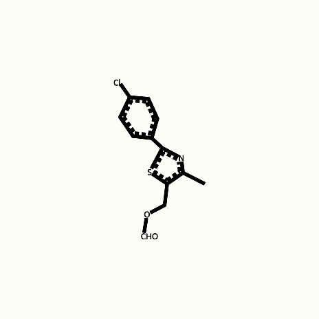 Cc1nc(-c2ccc(Cl)cc2)sc1COC=O